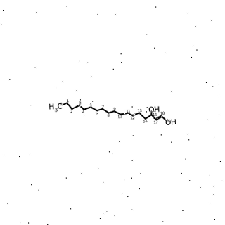 CCCCCCCCCCCCCCCC(O)C=CO